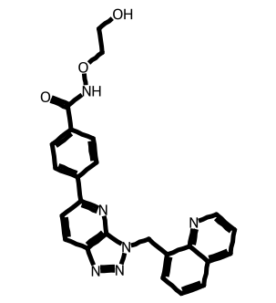 O=C(NOCCO)c1ccc(-c2ccc3nnn(Cc4cccc5cccnc45)c3n2)cc1